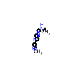 Cn1cc2cc(-c3ccc4nc(N5CCC(NC6(C)CC6)C5)ccc4n3)ccc2n1